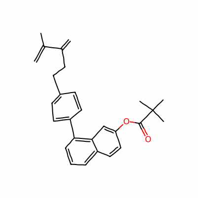 C=C(C)C(=C)CCc1ccc(-c2cccc3ccc(OC(=O)C(C)(C)C)cc23)cc1